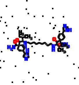 CC(C)C(NCCCCCCCCCNC(C(=O)C1(C(N)=O)C=CC(c2cnc[nH]2)=CC1)C(C)C)C(=O)C1(C(N)=O)C=CC(c2cnc[nH]2)=CC1